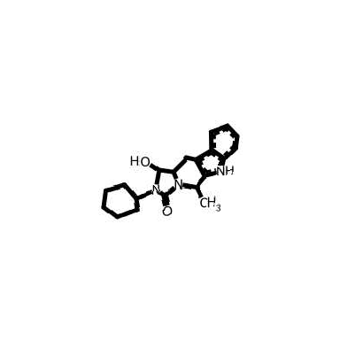 CC1c2[nH]c3ccccc3c2CC2C(O)N(C3CCCCC3)C(=O)N12